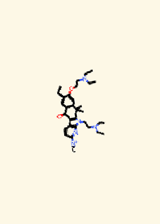 [C-]#[N+]c1ccc2c3c(n(CCN(CC)CC)c2n1)C(C)(C)c1cc(OCCN(CC)CC)c(CC)cc1C3=O